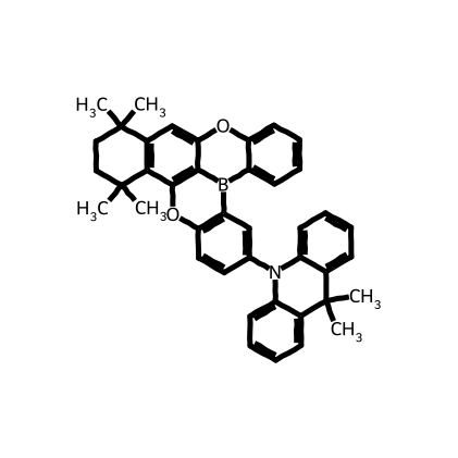 CC1(C)CCC(C)(C)c2c1cc1c3c2Oc2ccc(N4c5ccccc5C(C)(C)c5ccccc54)cc2B3c2ccccc2O1